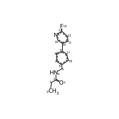 CCC(=O)NCc1ccc(-c2ccc(F)nc2)cc1